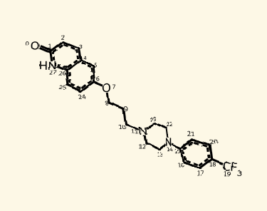 O=c1ccc2cc(OCCCN3CCN(c4ccc(C(F)(F)F)cc4)CC3)ccc2[nH]1